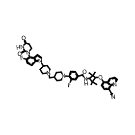 CC1(C)C(NC(=O)c2ccc(N3CCC(CN4CCC(n5ccc6c(N7CCC(=O)NC7=O)c(F)ccc65)CC4)CC3)c(F)c2)C(C)(C)C1Oc1ccc(C#N)c2ncccc12